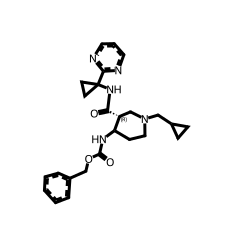 O=C(NC1CCN(CC2CC2)C[C@H]1C(=O)NC1(c2ncccn2)CC1)OCc1ccccc1